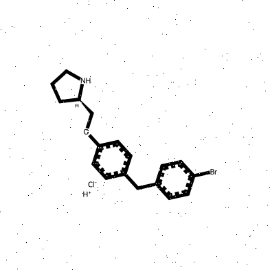 Brc1ccc(Cc2ccc(OC[C@H]3CCCN3)cc2)cc1.[Cl-].[H+]